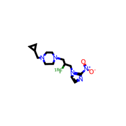 O=[N+]([O-])c1nccn1CC([18F])CN1CCN(CC2CC2)CC1